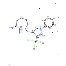 [N]C1CCCCC(CC2CN(c3ccccc3)N=C2C(F)(F)F)N1